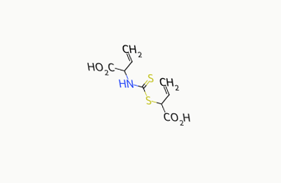 C=CC(NC(=S)SC(C=C)C(=O)O)C(=O)O